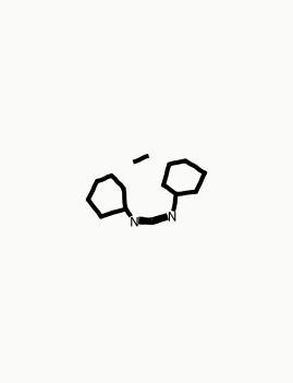 C(=NC1CCCCC1)=NC1CCCCC1.CC